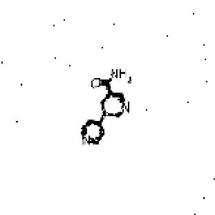 NC(=O)C1C=NCC(c2ccncc2)C1